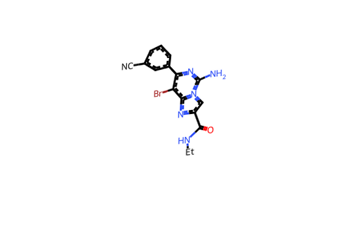 CCNC(=O)c1cn2c(N)nc(-c3cccc(C#N)c3)c(Br)c2n1